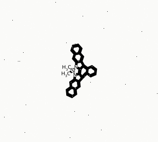 C[Si]1(C)n2c3cc4ccccc4cc3c3c4ccccc4c4c5cc6ccccc6cc5n1c4c32